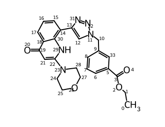 CCOC(=O)c1cccc(Cn2cc(-c3cccc4c(=O)cc(N5CCOCC5)[nH]c34)nn2)c1